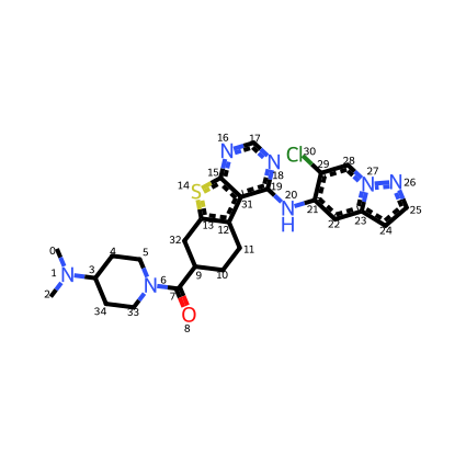 CN(C)C1CCN(C(=O)C2CCc3c(sc4ncnc(Nc5cc6ccnn6cc5Cl)c34)C2)CC1